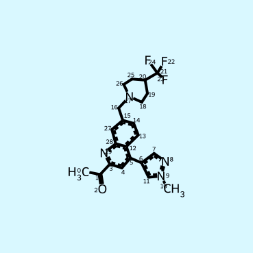 CC(=O)c1cc(-c2cnn(C)c2)c2ccc(CN3CCC(C(F)(F)F)CC3)cc2n1